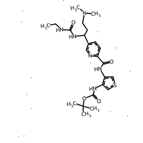 CCNC(=O)NC(CCN(C)C)c1ccc(C(=O)Nc2cscc2NC(=O)OC(C)(C)C)nc1